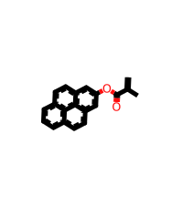 C=C(C)C(=O)Oc1cc2ccc3cccc4ccc(c1)c2c34